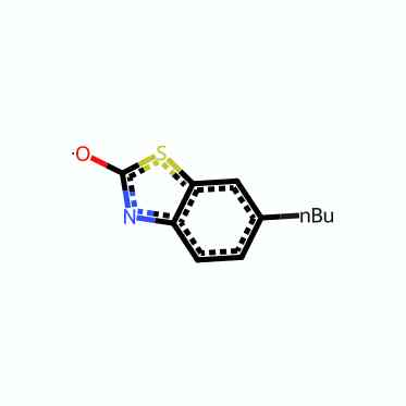 CCCCc1ccc2nc([O])sc2c1